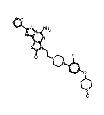 Nc1nc2c(sc(=O)n2CCN2CCN(c3ccc(OC4CC[S+]([O-])CC4)cc3F)CC2)c2nc(-c3ccco3)nn12